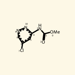 COC(=O)Nc1cc(Cl)cnn1